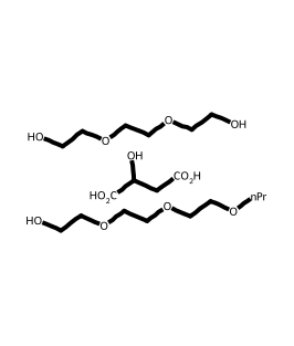 CCCOCCOCCOCCO.O=C(O)CC(O)C(=O)O.OCCOCCOCCO